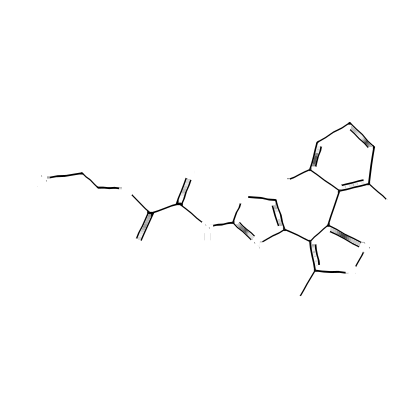 Cc1onc(-c2c(F)cccc2Cl)c1-c1csc(NC(=O)C(=O)OCCN)n1